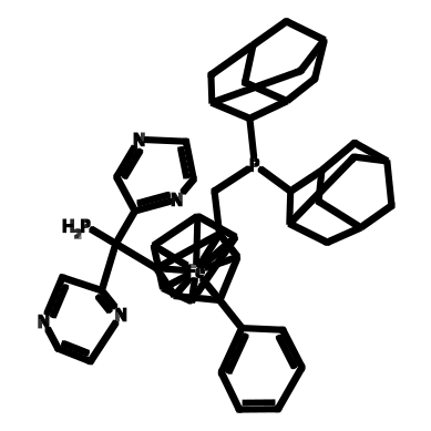 PC(c1cnccn1)(c1cnccn1)[C]12[CH]3[C]4(c5ccccc5)[CH]5[C]1(CP(C1C6CC7CC(C6)CC1C7)C1C6CC7CC(C6)CC1C7)[Fe]53421678[CH]2[CH]1[CH]6[CH]7[CH]28